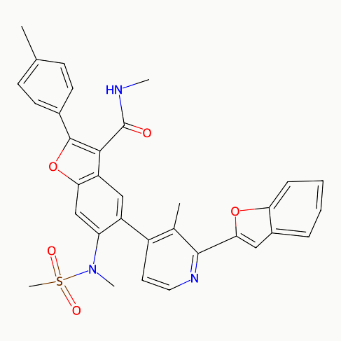 CNC(=O)c1c(-c2ccc(C)cc2)oc2cc(N(C)S(C)(=O)=O)c(-c3ccnc(-c4cc5ccccc5o4)c3C)cc12